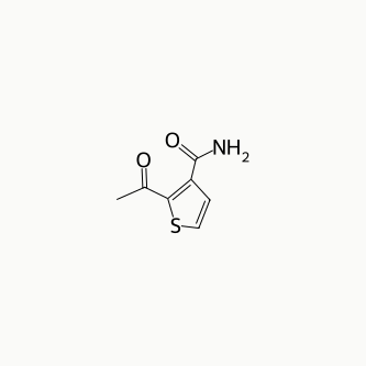 CC(=O)c1sccc1C(N)=O